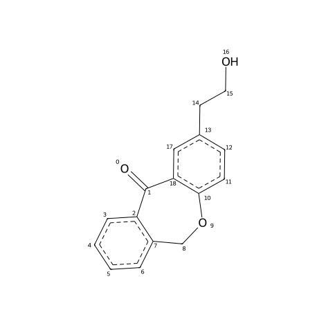 O=C1c2ccccc2COc2ccc(CCO)cc21